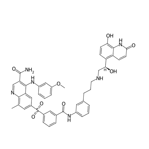 COc1cccc(Nc2c(C(N)=O)cnc3c(C)cc(S(=O)(=O)c4cccc(C(=O)Nc5cccc(CCCNC[C@H](O)c6ccc(O)c7[nH]c(=O)ccc67)c5)c4)cc23)c1